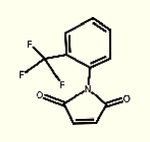 O=C1C=CC(=O)N1c1ccccc1C(F)(F)F